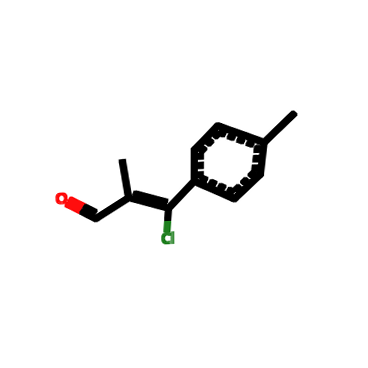 C/C(C=O)=C(/Cl)c1ccc(C)cc1